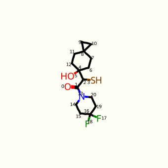 O=C(C(S)C1(O)CCC2(CC2)CC1)N1CCC(F)(F)CC1